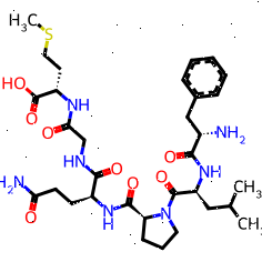 CSCC[C@H](NC(=O)CNC(=O)[C@H](CCC(N)=O)NC(=O)[C@@H]1CCCN1C(=O)[C@H](CC(C)C)NC(=O)[C@@H](N)Cc1ccccc1)C(=O)O